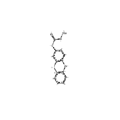 CC(C)(C)OC(=O)Oc1ccc2c(c1)[I+]c1ccccc1O2